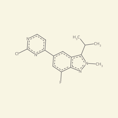 CC(C)c1c2cc(-c3ccnc(Cl)n3)cc(F)c2nn1C